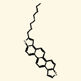 CCCCCCCCc1cc2c(ccc3c2ccc2c4ccc5sccc5c4ccc32)s1